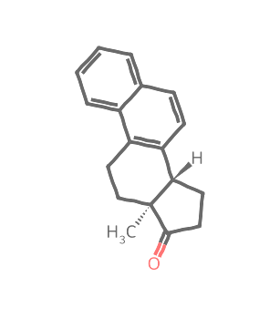 C[C@]12CCc3c(ccc4ccccc34)[C@@H]1CCC2=O